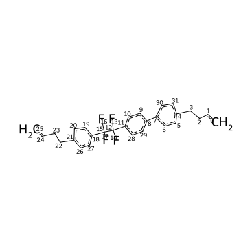 C=CCCc1ccc(-c2ccc(C(F)(F)C(F)(F)c3ccc(CCC=C)cc3)cc2)cc1